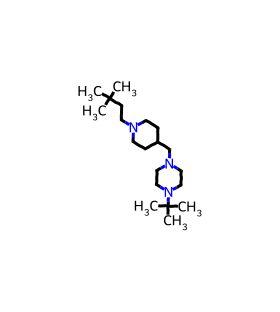 CC(C)(C)CCN1CCC(CN2CCN(C(C)(C)C)CC2)CC1